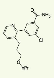 CCCOCCCc1cccnc1-c1cc(Cl)cc(C(N)=O)c1